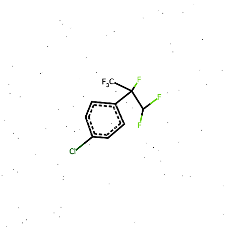 FC(F)C(F)(c1ccc(Cl)cc1)C(F)(F)F